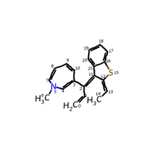 C=C/C(C1=CN(C)C=CC=C1)=c1\c(=C/C)sc2ccccc12